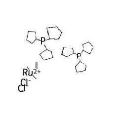 C1CCC(P(C2CCCC2)C2CCCC2)C1.C1CCC(P(C2CCCC2)C2CCCC2)C1.C=[CH][Ru+2](=[CH2])([CH3])[CH3].[Cl-].[Cl-]